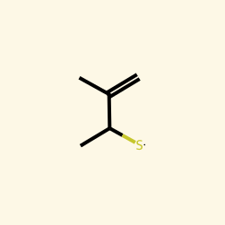 C=C(C)C(C)[S]